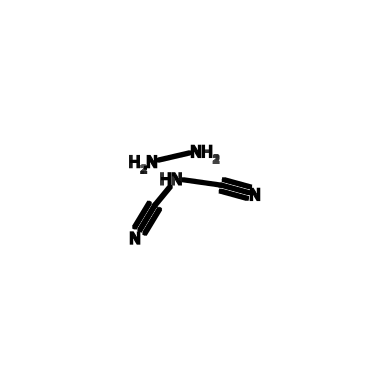 N#CNC#N.NN